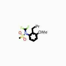 COc1cccc(N(C(F)F)S(C)(=O)=O)c1CC(C)C